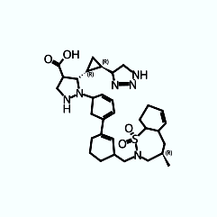 C[C@@H]1CC2C=CCCC2S(=O)(=O)N(CC2C=C(C3=CC=CC(N4NCC(C(=O)O)C4[C@@H]4C[C@H]4C4CNN=N4)C3)CCC2)C1